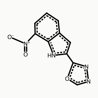 O=[N+]([O-])c1cccc2cc(-c3nnco3)[nH]c12